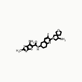 Cc1nc2sc(C(=O)NC3CCc4nc(N5CC(N)C6(CCOC6)C5)c(F)cc4C3)c(N)c2s1